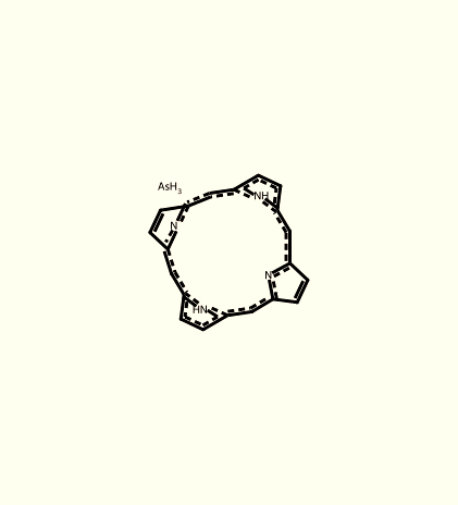 C1=Cc2cc3ccc(cc4nc(cc5ccc(cc1n2)[nH]5)C=C4)[nH]3.[AsH3]